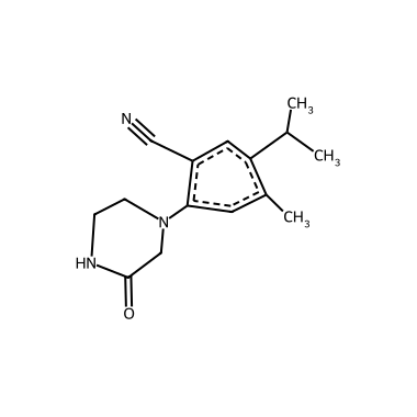 Cc1cc(N2CCNC(=O)C2)c(C#N)cc1C(C)C